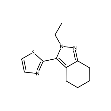 CCn1nc2c(c1-c1nccs1)CCCC2